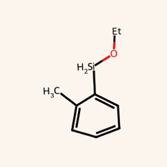 CCO[SiH2]c1ccccc1C